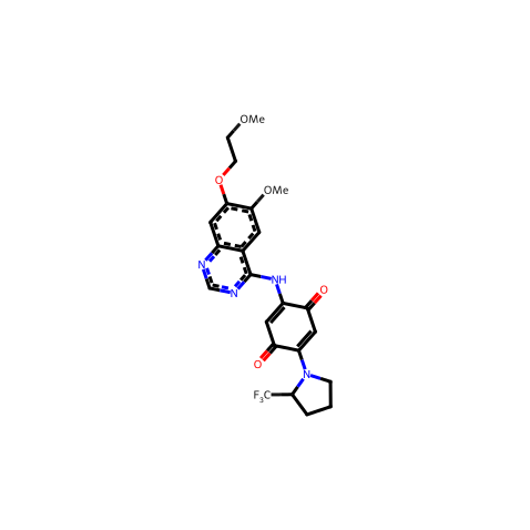 COCCOc1cc2ncnc(NC3=CC(=O)C(N4CCCC4C(F)(F)F)=CC3=O)c2cc1OC